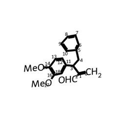 C=C(C=O)C(Cc1ccccc1)c1ccc(OC)c(OC)c1